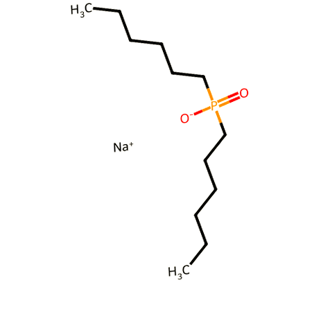 CCCCCCP(=O)([O-])CCCCCC.[Na+]